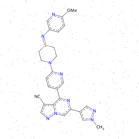 COc1ccc(N=S2CCN(c3ccc(-c4nc(-c5cnn(C)c5)cn5ncc(C#N)c45)cn3)CC2)cn1